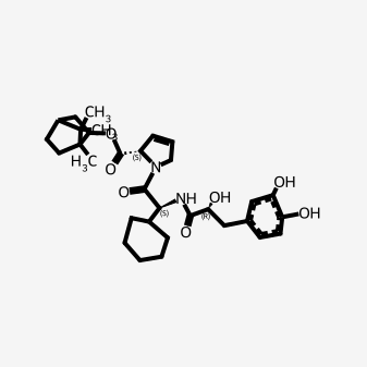 CC1(C)C2CCC1(C)C(OC(=O)[C@@H]1C=CCN1C(=O)[C@@H](NC(=O)[C@H](O)Cc1ccc(O)c(O)c1)C1CCCCC1)C2